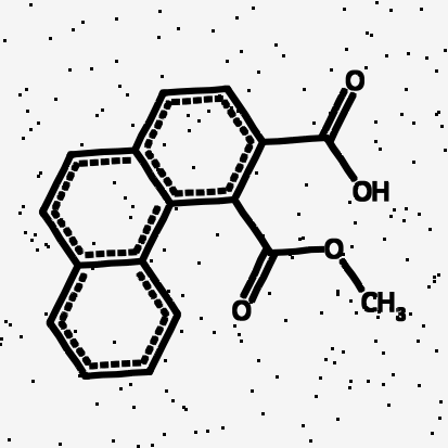 COC(=O)c1c(C(=O)O)ccc2ccc3ccccc3c12